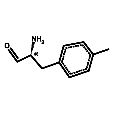 Cc1ccc(C[C@@H](N)C=O)cc1